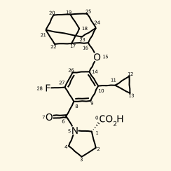 O=C(O)[C@@H]1CCCN1C(=O)c1cc(C2CC2)c(OC2C3CC4CC(C3)CC2C4)cc1F